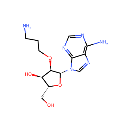 NCCCO[C@@H]1[C@H](O)[C@@H](CO)O[C@H]1n1cnc2c(N)ncnc21